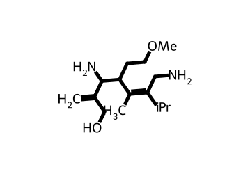 C=C(CO)C(N)C(CCOC)C(C)=C(CN)C(C)C